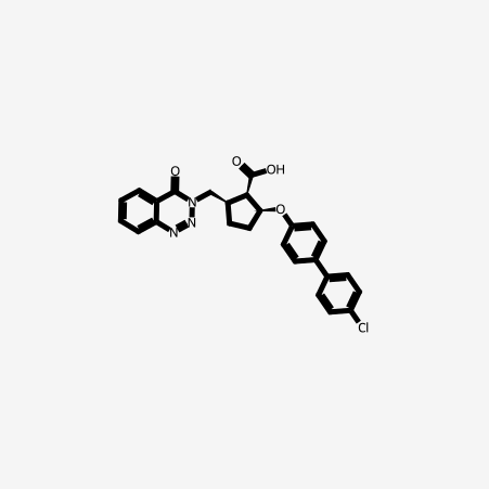 O=C(O)[C@@H]1[C@H](Cn2nnc3ccccc3c2=O)CC[C@@H]1Oc1ccc(-c2ccc(Cl)cc2)cc1